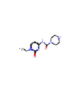 CCn1ccc(NC(=O)N2CCNCC2)nc1=O